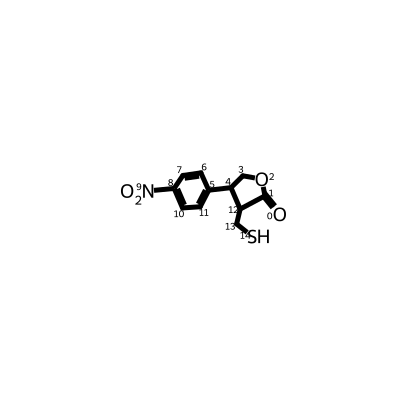 O=C1OCC(c2ccc([N+](=O)[O-])cc2)C1CS